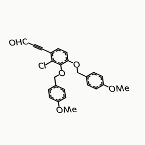 COc1ccc(COc2ccc(C#CC=O)c(Cl)c2OCc2ccc(OC)cc2)cc1